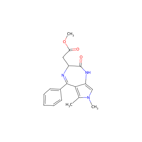 COC(=O)CC1N=C(c2ccccc2)c2c(cn(C)c2C)NC1=O